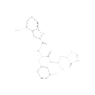 COc1cccc2[nH]c(C(=O)NC(Cc3cccc(Cl)c3)C(=O)NC(C#N)CC3CCNC3=O)cc12